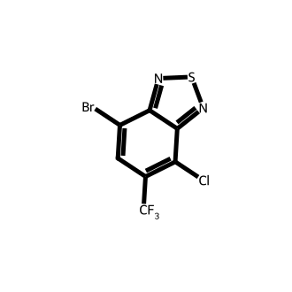 FC(F)(F)c1cc(Br)c2nsnc2c1Cl